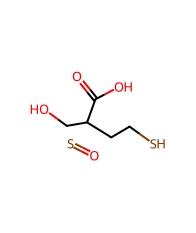 O=C(O)C(CO)CCS.O=S